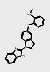 CCNc1cccnc1Nc1ccc2c(c1)CCN2c1nc2ccccc2[nH]1